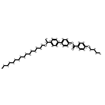 CCCCCCCCCCCCCCCCOC(C)c1ccc(-c2ccc(OC(=O)c3ccc(OCCCC)cc3)cc2)cc1